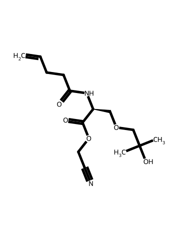 C=CCCC(=O)N[C@@H](COCC(C)(C)O)C(=O)OCC#N